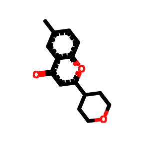 Cc1ccc2oc(C3CCOCC3)cc(=O)c2c1